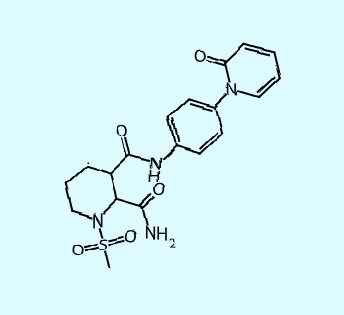 CS(=O)(=O)N1CC[CH]C(C(=O)Nc2ccc(-n3ccccc3=O)cc2)C1C(N)=O